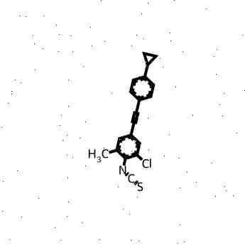 Cc1cc(C#Cc2ccc(C3CC3)cc2)cc(Cl)c1N=C=S